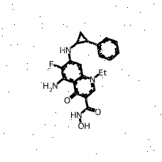 CCn1cc(C(=O)NO)c(=O)c2c(N)c(F)c(NC3CC3c3ccccc3)cc21